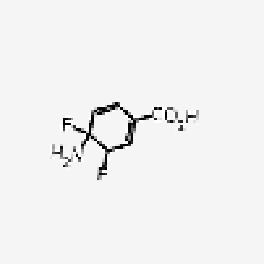 NC1(F)C=CC(C(=O)O)=CC1F